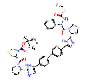 COC(=O)N[C@@H](C(=O)N1CCC[C@H]1c1ncc(-c2ccc(-c3ccc(-c4cnc([C@@H]5CCCN5C(=O)[C@@H]5CSCN5C(=O)OC(C)(C)C)[nH]4)cc3)cc2)[nH]1)c1ccccc1